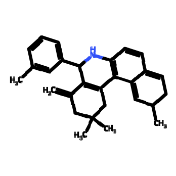 C=C1CC(C)(C)CC2=C1C(c1cccc(C)c1)Nc1ccc3c(c12)=CC(C)CC=3